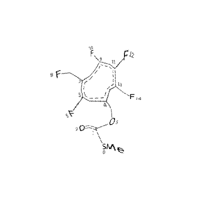 CSC(=O)Oc1c(F)c(F)c(F)c(F)c1F